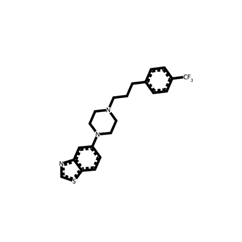 FC(F)(F)c1ccc(CCCN2CCN(c3ccc4scnc4c3)CC2)cc1